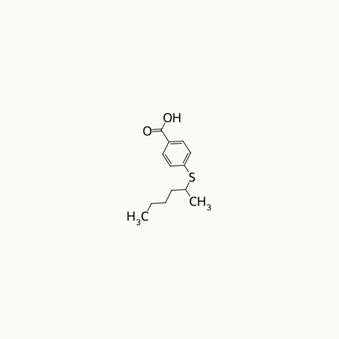 CCCCC(C)Sc1ccc(C(=O)O)cc1